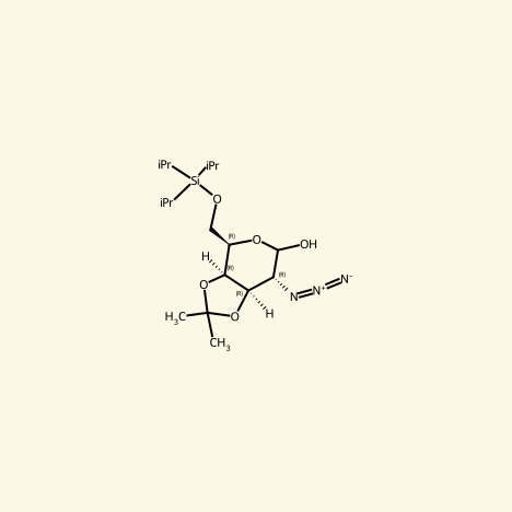 CC(C)[Si](OC[C@H]1OC(O)[C@H](N=[N+]=[N-])[C@H]2OC(C)(C)O[C@H]21)(C(C)C)C(C)C